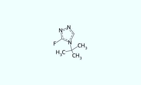 CC(C)(C)n1cnnc1F